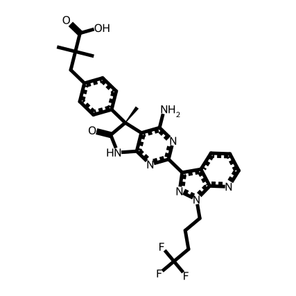 CC(C)(Cc1ccc([C@@]2(C)C(=O)Nc3nc(-c4nn(CCCC(F)(F)F)c5ncccc45)nc(N)c32)cc1)C(=O)O